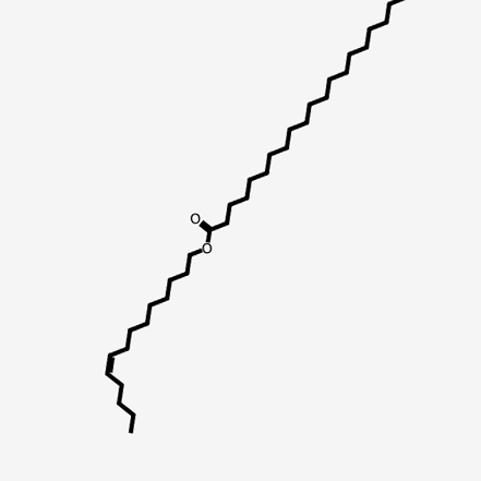 CCCC/C=C\CCCCCCCCOC(=O)CCCCCCCCCCCCCCCCCCC